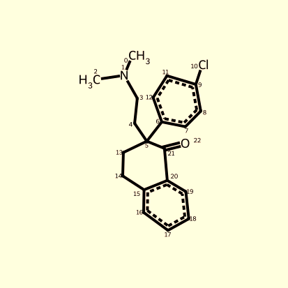 CN(C)CCC1(c2ccc(Cl)cc2)CCc2ccccc2C1=O